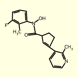 Cc1ncccc1C1=CC(C(=O)N(O)c2cccc(F)c2C)CC1